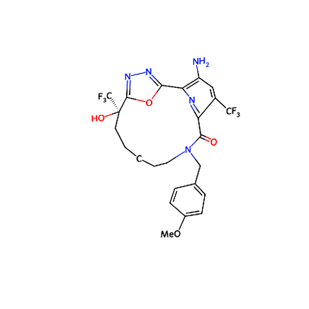 COc1ccc(CN2CCCCC[C@](O)(C(F)(F)F)c3nnc(o3)-c3nc(c(C(F)(F)F)cc3N)C2=O)cc1